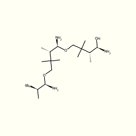 C[C@H]([C@H](N)OCC(C)(C)[C@H](C)[C@@H](N)OCC(C)(C)[C@@H](C)[C@H](N)O)C(C)(C)C